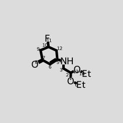 CCOC(CNC1=CC(=O)CC(F)C1)OCC